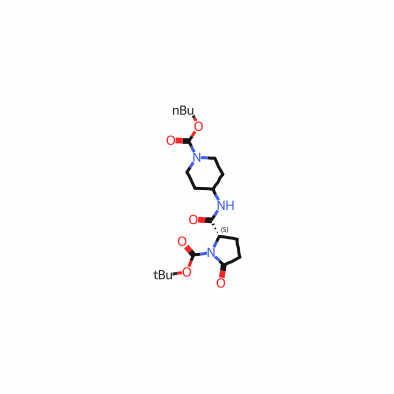 CCCCOC(=O)N1CCC(NC(=O)[C@@H]2CCC(=O)N2C(=O)OC(C)(C)C)CC1